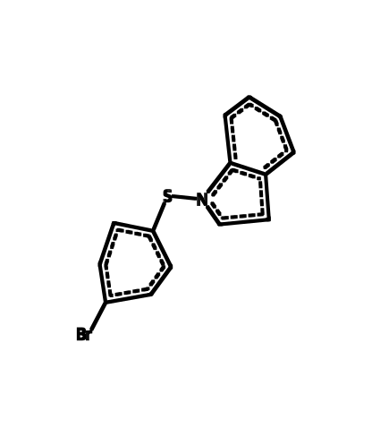 Brc1ccc(Sn2ccc3ccccc32)cc1